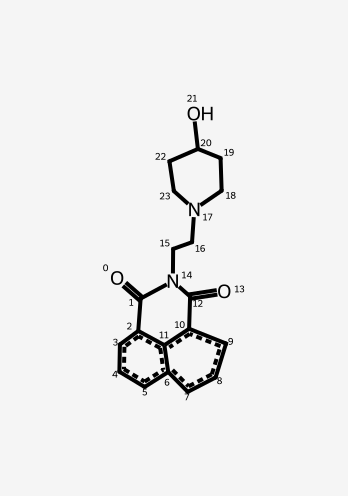 O=C1c2cccc3cccc(c23)C(=O)N1CCN1CCC(O)CC1